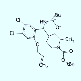 C=CCOc1cc(Cl)c(Cl)cc1C(N[S@@+]([O-])C(C)(C)C)C1CCN(C(=O)OC(C)(C)C)C(C)C1